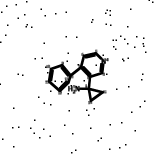 NC1(c2cnccc2-c2ccccc2)CC1